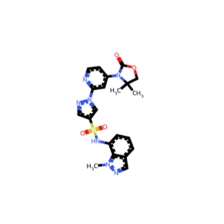 Cn1ncc2cccc(NS(=O)(=O)c3cnn(-c4cc(N5C(=O)OCC5(C)C)ccn4)c3)c21